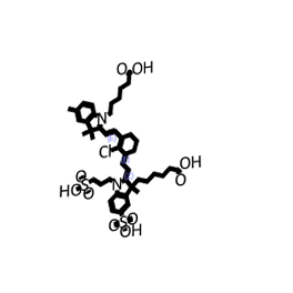 Cc1ccc2c(c1)C(C)(C)C(/C=C/C1=C(Cl)C(=C/C=C3\N(CCCS(=O)(=O)O)c4ccc(S(=O)(=O)O)cc4C3(C)CCCCCC(=O)O)/CCC1)=[N+]2CCCCCC(=O)O